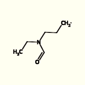 [CH2]CCN(C=O)CC